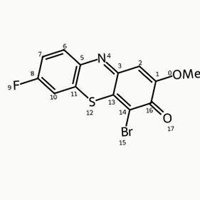 COc1cc2nc3ccc(F)cc3sc-2c(Br)c1=O